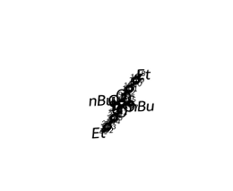 CCCCOC(=S)c1cc(OC(=O)C2CCC(C3CCC(CC)CC3)CC2)c(C(=S)OCCCC)cc1OC(=O)C1CCC(C2CCC(CC)CC2)CC1